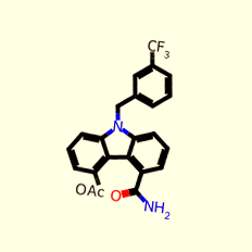 CC(=O)Oc1cccc2c1c1c(C(N)=O)cccc1n2Cc1cccc(C(F)(F)F)c1